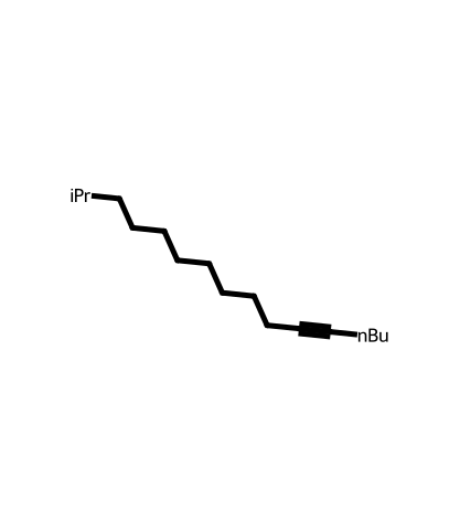 CCCCC#CCCCCCCCCC(C)C